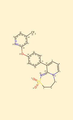 O=S1(=O)CCCN2C=CC=C(c3ccc(Oc4cc(C(F)(F)F)ccn4)cc3)C2=N1